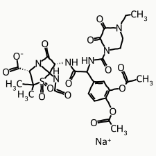 CCN1CCN(C(=O)NC(C(=O)N[C@H]2C(=O)N3[C@@H](C(=O)[O-])C(C)(C)S(=O)(=O)C23NC=O)c2ccc(OC(C)=O)c(OC(C)=O)c2)C(=O)C1=O.[Na+]